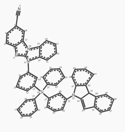 N#Cc1ccc2nc3n(-c4cccc([Si](c5ccccc5)(c5ccccc5)c5cccc(N6C7=Cc8ccccc8C7c7ccccc76)c5)c4)c4ccccc4n3c2c1